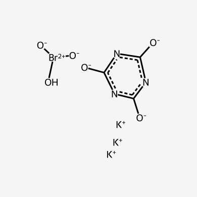 [K+].[K+].[K+].[O-][Br+2]([O-])O.[O-]c1nc([O-])nc([O-])n1